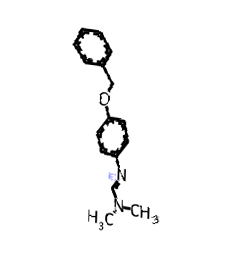 CN(C)/C=N/c1ccc(OCc2ccccc2)cc1